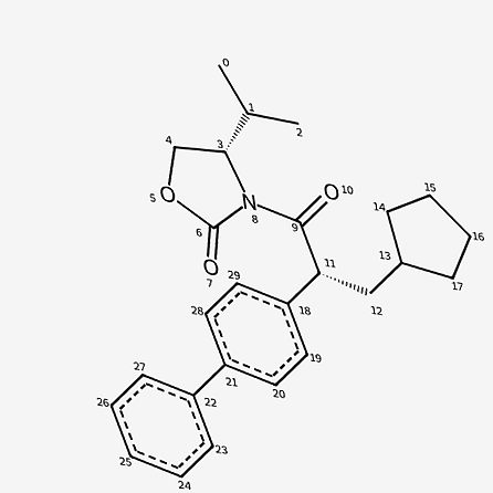 CC(C)[C@H]1COC(=O)N1C(=O)[C@H](CC1CCCC1)c1ccc(-c2ccccc2)cc1